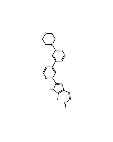 CO/C=C\c1nc(-c2cc(-c3cncc(N4CCOCC4)c3)ccn2)[nH]c1C